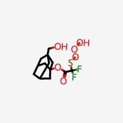 O=C(OC12CC3CC(CC(CO)(C3)C1)C2)C(F)(F)SOOO